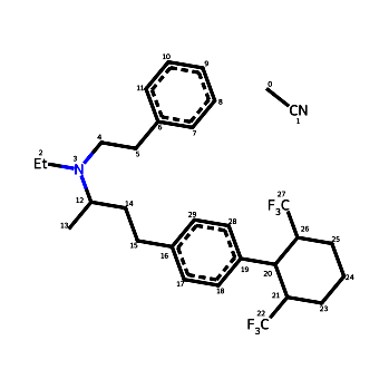 CC#N.CCN(CCc1ccccc1)C(C)CCc1ccc(C2C(C(F)(F)F)CCCC2C(F)(F)F)cc1